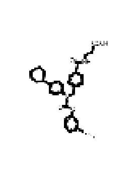 O=C(O)CCNC(=O)c1ccc(CN(C(=O)Oc2cccc([N+](=O)[O-])c2)c2ccc(C3CCCCC3)cc2)cc1